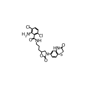 Nc1c(Cl)ccc(Cl)c1C(=O)NCCCC1CN(c2ccc3c(c2)NC(=O)CS3)C(=O)O1